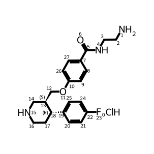 Cl.NCCNC(=O)c1ccc(OC[C@@H]2CNCC[C@H]2c2ccc(F)cc2)cc1